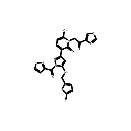 O=C(Cn1c(O)ccc(-c2cc(NCc3ccc(Cl)s3)n(C(=O)c3ccsn3)n2)c1=O)c1cscn1